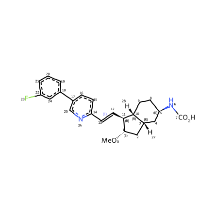 CO[C@H]1C[C@H]2C[C@H](NC(=O)O)CC[C@H]2[C@@H]1/C=C/c1ccc(-c2cccc(F)c2)cn1